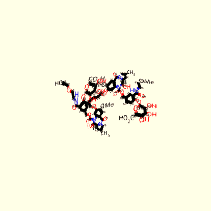 C#CCOCCNC(=O)c1cc(COC(=O)N2c3cc(OCCCCCOc4cc5c(cc4OC)C(=O)N4C=C(C)C[C@H]4C(O)N5C(=O)OCc4ccc(O[C@@H]5O[C@H](C(=O)O)[C@@H](O)[C@H](O)[C@H]5O)c(C(=O)NCCOC)c4)c(OC)cc3C(=O)N3C=C(C)C[C@H]3C2O)ccc1O[C@@H]1O[C@H](C(=O)O)[C@@H](O)[C@H](O)[C@H]1O